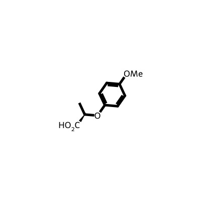 COc1ccc(O[C@H](C)C(=O)O)cc1